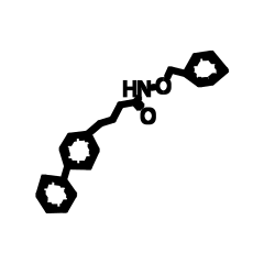 O=C(CCCc1ccc(-c2ccccc2)cc1)NOCc1ccccc1